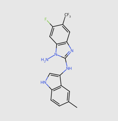 Cc1ccc2[nH]cc(Nc3nc4cc(C(F)(F)F)c(F)cc4n3N)c2c1